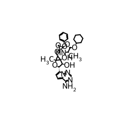 C[C@H](NP(=O)(Oc1ccccc1)OC1[C@@]2(C)O[C@@H](c3ccc4c(N)ncnn34)[C@H](O)[C@@]12O)C(=O)OC1CCCCC1